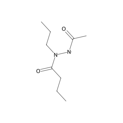 CCCC(=O)N(CCC)[N]C(C)=O